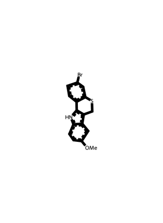 COc1ccc2[nH]c3c(c2c1)CSc1cc(Br)ccc1-3